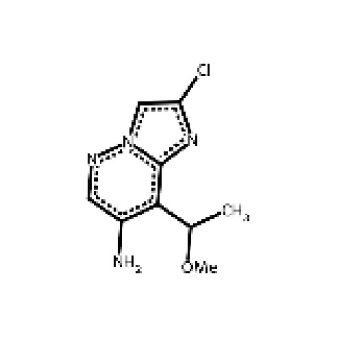 COC(C)c1c(N)cnn2cc(Cl)nc12